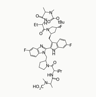 CCC(NC(=O)C(C)N(C)C(=O)OC(C)(C)C)C(=O)N1C[C@@H](F)C[C@H]1Cc1c(-c2nc3cc(F)ccc3n2CC2CCCN2C(=O)C(NC(=O)C(C)N(C)C(=O)O)C(C)C)[nH]c2cc(F)ccc12